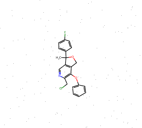 CC1(c2ccc(F)cc2)OCc2c1cnc(CCl)c2Oc1ccccc1